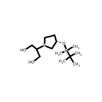 CC(C)(C)[Si](C)(C)O[C@H]1CCN(C(CO)CO)C1